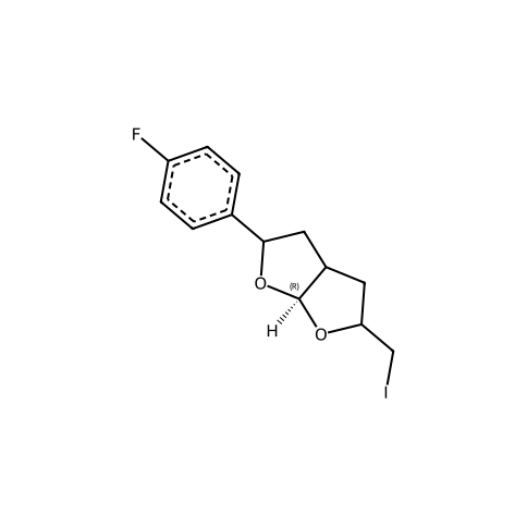 Fc1ccc(C2CC3CC(CI)O[C@H]3O2)cc1